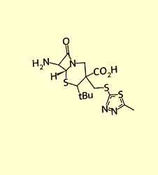 Cc1nnc(SCC2(C(=O)O)CN3C(=O)C(N)[C@H]3SC2C(C)(C)C)s1